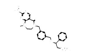 CCNc1ncc2c(n1)N(C)CCN(Cc1cccc(COC(CNC)c3ccccc3)c1)C2=O